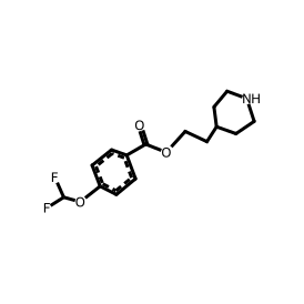 O=C(OCCC1CCNCC1)c1ccc(OC(F)F)cc1